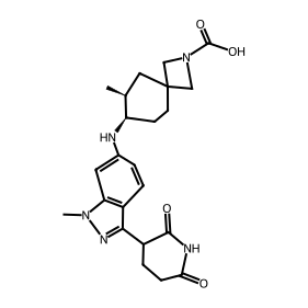 C[C@H]1CC2(CC[C@H]1Nc1ccc3c(C4CCC(=O)NC4=O)nn(C)c3c1)CN(C(=O)O)C2